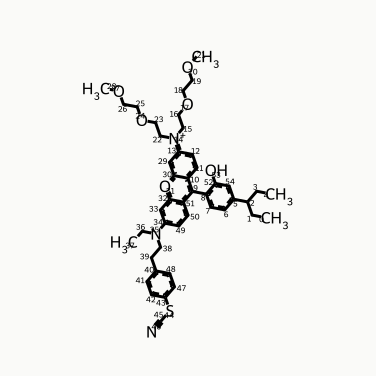 CCC(CC)c1ccc(-c2c3ccc(=[N+](CCOCCOC)CCOCCOC)cc-3oc3cc(N(CC)CCc4ccc(SC#N)cc4)ccc23)c(O)c1